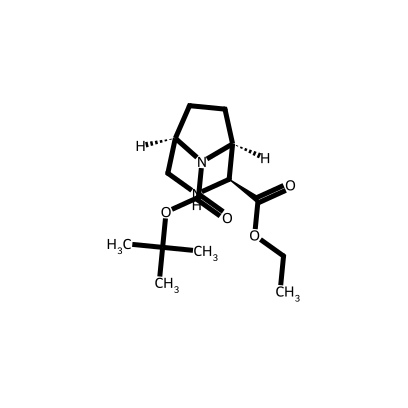 CCOC(=O)[C@H]1NC[C@H]2CC[C@@H]1N2C(=O)OC(C)(C)C